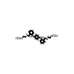 CCCCCCCCCCCCSCc1ccccc1Nc1ccc(Nc2ccccc2CSCCCCCCCCCCCC)cc1